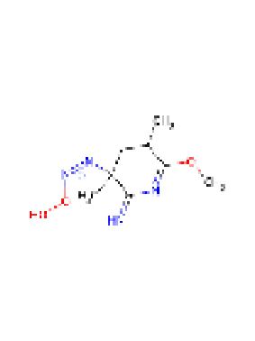 COC1=NC(=N)C(C)(/N=N\OO)CC1C